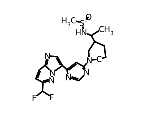 CC(N[S+](C)[O-])C1CCCN(c2cc(-c3cnc4ccc(C(F)F)nn34)ncn2)C1